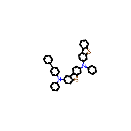 c1ccc(-c2ccc(N(c3ccccc3)c3ccc4sc5cc(N(c6ccccc6)c6ccc7c(c6)sc6ccccc67)ccc5c4c3)cc2)cc1